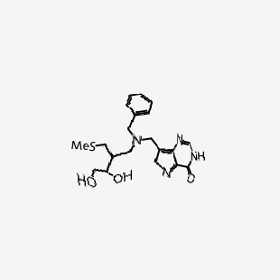 CSCC(CN(CC1=c2nc[nH]c(=O)c2=NC1)Cc1ccccc1)C(O)CO